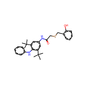 CC(C)(C)c1cc(NC(=O)CSCc2ccccc2O)cc(C(C)(C)C)c1Nc1ccccc1